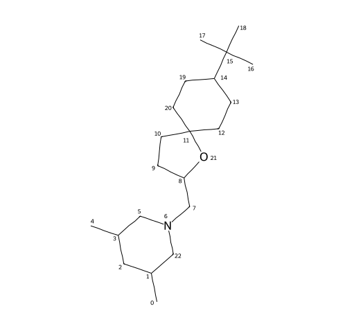 CC1CC(C)CN(CC2CCC3(CCC(C(C)(C)C)CC3)O2)C1